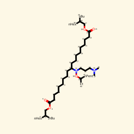 CCCCCCC(CCCC)COC(=O)CCCCCCCCC(CCCCCCCCC(=O)OCC(CCCC)CCCCCC)N(CCCN(C)C)OC(CC)CCCCC